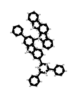 c1ccc(-c2cc(-n3c4ccccc4c4ccc5c6ccccc6sc5c43)c3c(c2)oc2cc(-c4nc(-c5ccccc5)nc(-c5ccccc5)n4)ccc23)cc1